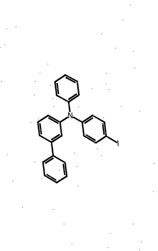 Ic1ccc(N(c2ccccc2)c2cccc(-c3ccccc3)c2)cc1